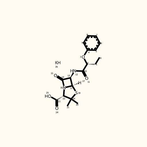 CC[C@@H](Oc1ccccc1)C(=O)N[C@@H]1C(=O)N2[C@@H]1SC(C)(C)[C@@H]2C(=O)O.[KH]